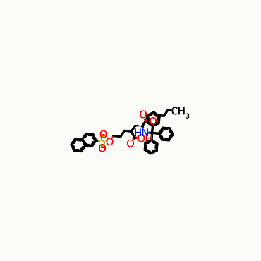 CCCCOC(=O)[C@H](CC(CCCOS(=O)(=O)c1ccc2ccccc2c1)C(=O)O)NC(c1ccccc1)(c1ccccc1)c1ccccc1